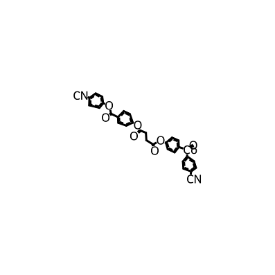 [C-]#[N+]c1ccc(OC(=O)c2ccc(OC(=O)CCC(=O)Oc3cc[c]([Co](=[O])[c]4ccc(C#N)cc4)cc3)cc2)cc1